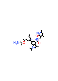 C=C/C=C(\CCC(C)OC(C)CN)c1cc(C(=O)NCc2c(C)cc(C)[nH]c2=O)c2c(C)cn(C(C)C)c2c1